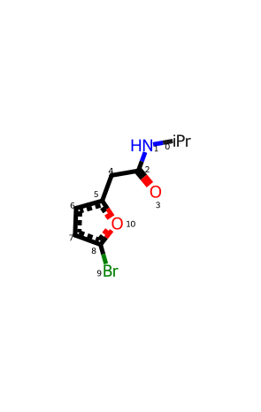 CC(C)NC(=O)Cc1ccc(Br)o1